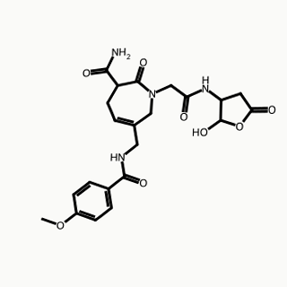 COc1ccc(C(=O)NCC2=CCC(C(N)=O)C(=O)N(CC(=O)NC3CC(=O)OC3O)C2)cc1